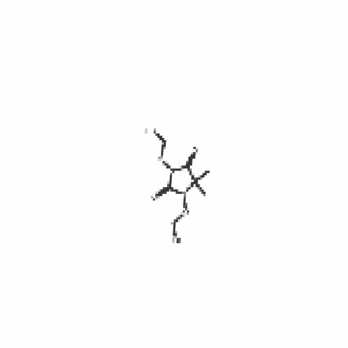 CC1(C)C(=O)N(OCO)C(=O)N1OCO